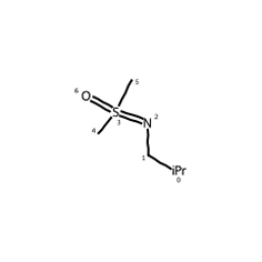 CC(C)CN=S(C)(C)=O